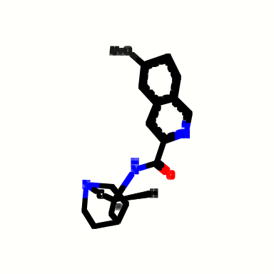 COc1ccc2cnc(C(=O)N[C@@H]3CC4CCN(CC4)C3)cc2c1